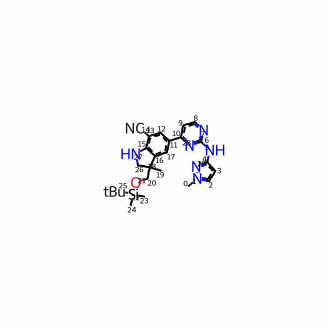 Cn1ccc(Nc2nccc(-c3cc(C#N)c4c(c3)C(C)(CO[Si](C)(C)C(C)(C)C)CN4)n2)n1